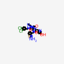 CCCN(C(=O)NCc1ccc(Cl)c(Cl)c1)N1CC(=O)N2[C@@H](Cc3ccc(O)cn3)C(=O)N(Cc3cccc4sc(N)nc34)C[C@@H]21